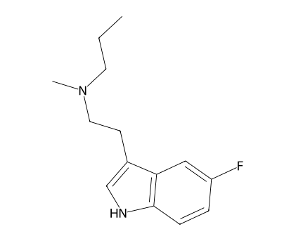 CCCN(C)CCc1c[nH]c2ccc(F)cc12